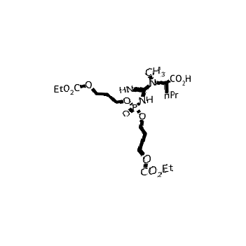 CCCC(C(=O)O)N(C)C(=N)NP(=O)(OCCCOC(=O)OCC)OCCCOC(=O)OCC